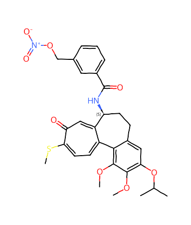 COc1c(OC(C)C)cc2c(c1OC)-c1ccc(SC)c(=O)cc1[C@@H](NC(=O)c1cccc(CO[N+](=O)[O-])c1)CC2